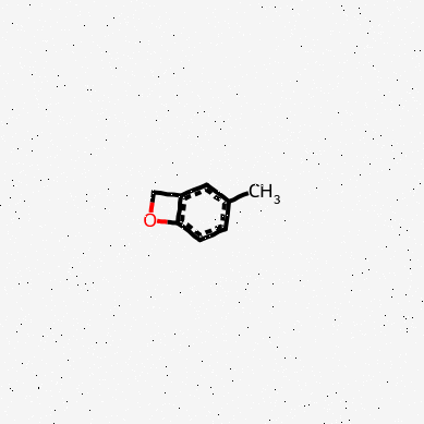 Cc1ccc2c(c1)CO2